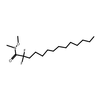 CCCCCCCCCCCCC(F)(F)C(=O)N(C)OC